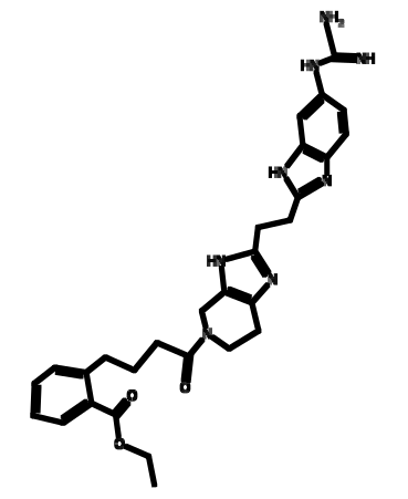 CCOC(=O)c1ccccc1CCCC(=O)N1CCc2nc(CCc3nc4ccc(NC(=N)N)cc4[nH]3)[nH]c2C1